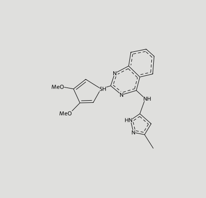 COC1=C[SH](c2nc(Nc3cc(C)n[nH]3)c3ccccc3n2)C=C1OC